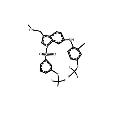 CNCc1cn(S(=O)(=O)c2cccc(OC(F)(F)F)c2)c2cc(Nc3ccc(OC(F)(F)F)cc3C)ccc12